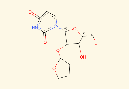 O=c1ccn([C@@H]2O[C@H](CO)C(O)C2OC2CCCO2)c(=O)[nH]1